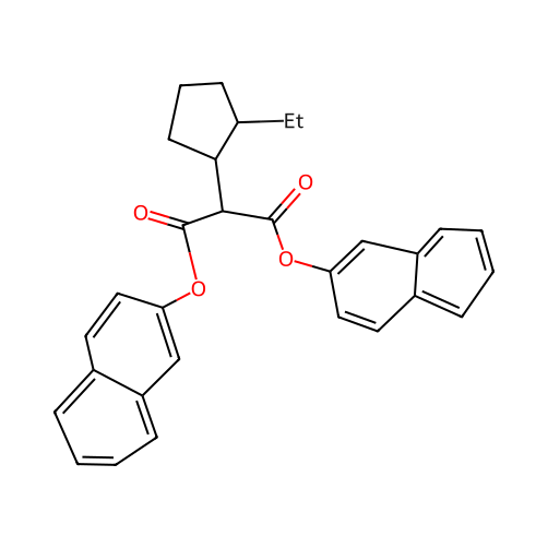 CCC1CCCC1C(C(=O)Oc1ccc2ccccc2c1)C(=O)Oc1ccc2ccccc2c1